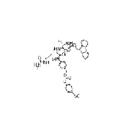 CC(C)[C@H](NC(=O)OCC1c2ccccc2-c2ccccc21)C(=O)N[C@@H](CCCNC(N)=O)C(=O)Nc1ccc(COC(=O)Oc2ccc(N=O)cc2)cc1